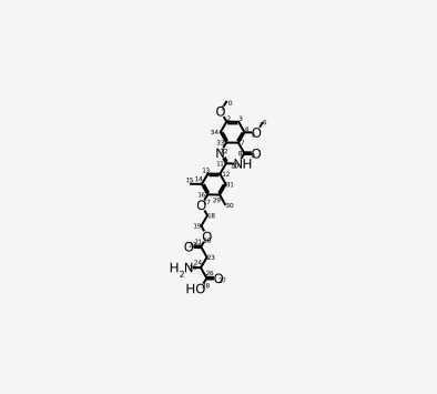 COc1cc(OC)c2c(=O)[nH]c(-c3cc(C)c(OCCOC(=O)CC(N)C(=O)O)c(C)c3)nc2c1